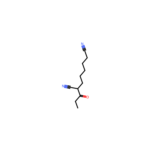 CCC(=O)C(C#N)CCCCCC#N